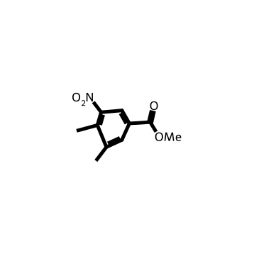 COC(=O)c1cc(C)c(C)c([N+](=O)[O-])c1